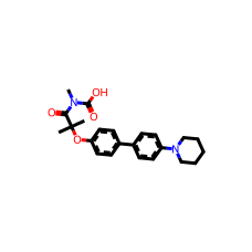 CN(C(=O)O)C(=O)C(C)(C)Oc1ccc(-c2ccc(N3CCCCC3)cc2)cc1